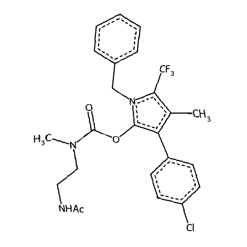 CC(=O)NCCN(C)C(=O)Oc1c(-c2ccc(Cl)cc2)c(C)c(C(F)(F)F)n1Cc1ccccc1